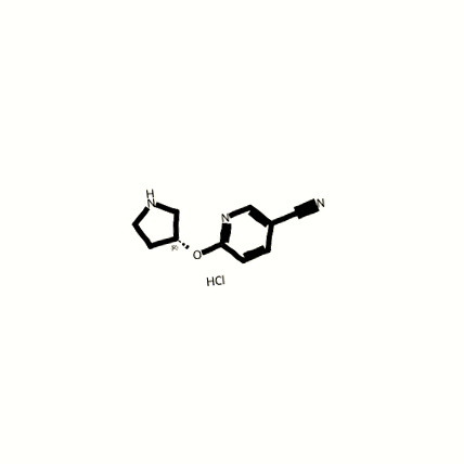 Cl.N#Cc1ccc(O[C@@H]2CCNC2)nc1